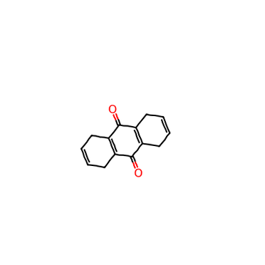 O=C1C2=C(CC=CC2)C(=O)C2=C1CC=CC2